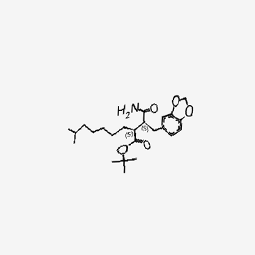 CC(C)CCCCC[C@H](C(=O)OC(C)(C)C)[C@H](Cc1ccc2c(c1)OCO2)C(N)=O